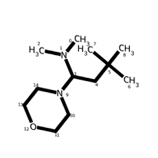 CN(C)C(CC(C)(C)C)N1CCOCC1